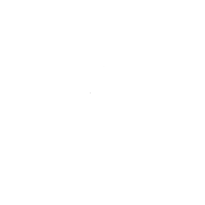 C=CC(=O)OC(C)CCCN(CC)CC.Cl